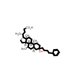 CC(=O)O[C@@H]1C[C@@H]2C[C@@](O)(CCCCc3ccccc3)CC[C@]2(C)[C@H]2CC[C@]3(C)[C@@H]([C@H](C)CCC(=O)O)CC[C@H]3[C@H]12